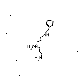 CN(CCCN)CCCNCCc1ccccc1